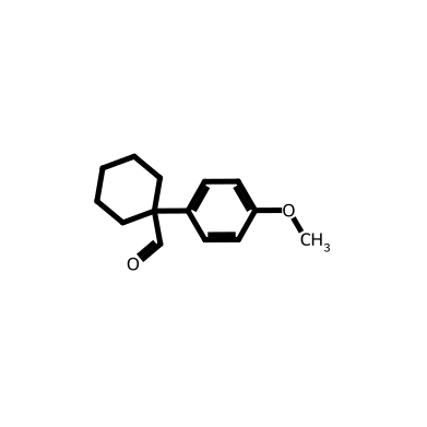 COc1ccc(C2(C=O)CCCCC2)cc1